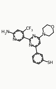 Nc1cc(C(F)(F)F)c(-c2nc(-c3cccc(S)c3)cc(N3CCOCC3)n2)cn1